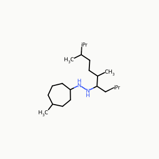 CC(C)CC(NNC1CCCC(C)CC1)C(C)CCC(C)C(C)C